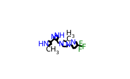 Cc1cc(-c2n[nH]cc2CN2CCN(c3ccc(C(F)(F)F)cn3)[C@H](C)C2)c[nH]1